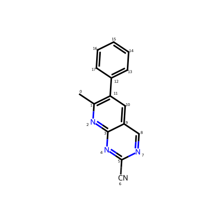 Cc1nc2nc(C#N)ncc2cc1-c1ccccc1